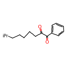 CC(C)CCCCCC(=O)C(=O)c1ccccc1